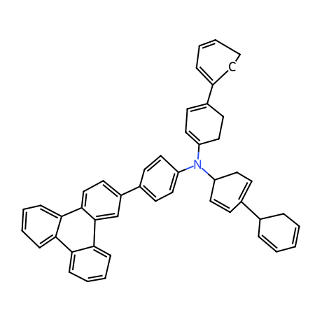 C1=CCCC(C2=CC=C(N(c3ccc(-c4ccc5c6ccccc6c6ccccc6c5c4)cc3)C3C=CC(C4C=CC=CC4)=CC3)CC2)=C1